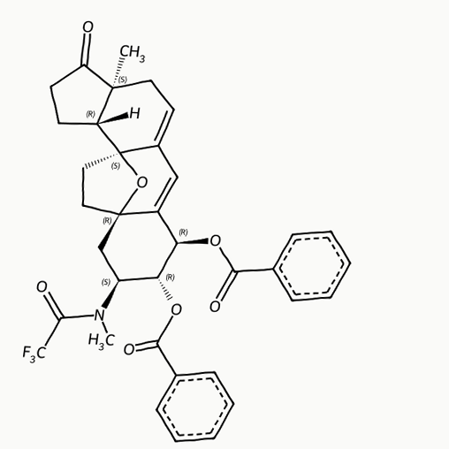 CN(C(=O)C(F)(F)F)[C@H]1C[C@@]23CC[C@@]4(O2)C(=CC[C@]2(C)C(=O)CC[C@H]24)C=C3[C@@H](OC(=O)c2ccccc2)[C@@H]1OC(=O)c1ccccc1